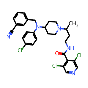 CC(CCNC(=O)c1c(Cl)cncc1Cl)N1CCC(N(Cc2cccc(C#N)c2)c2ccc(Cl)cc2)CC1